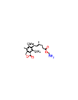 COc1c(C)c2c(c(OC)c1C/C=C(\C)CCC(=O)OCN)C(=O)OC2